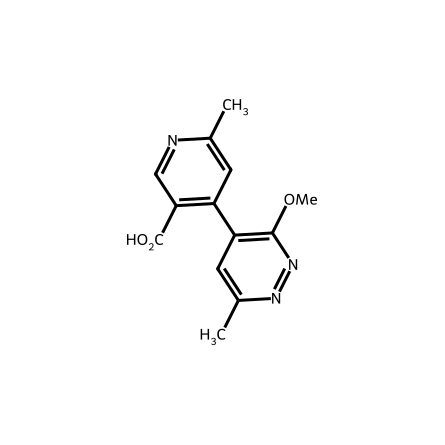 COc1nnc(C)cc1-c1cc(C)ncc1C(=O)O